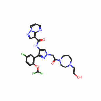 O=C(Nc1cn(CC(=O)N2CCCN(CCO)CC2)nc1-c1cc(Cl)ccc1OC(F)F)c1cnn2cccnc12